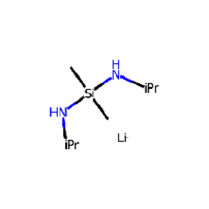 CC(C)N[Si](C)(C)NC(C)C.[Li]